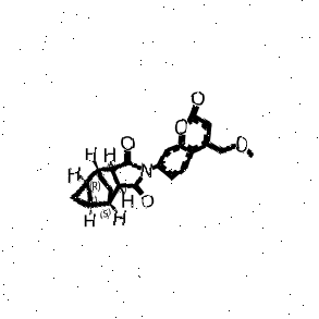 COCc1cc(=O)oc2cc(N3C(=O)[C@@H]4[C@@H]5CC[C@@H]([C@H]6C[C@H]65)[C@@H]4C3=O)ccc12